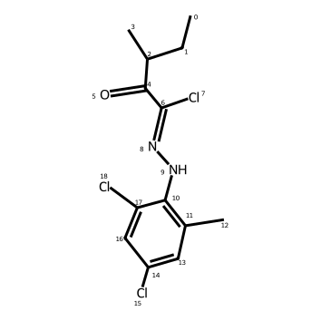 CCC(C)C(=O)C(Cl)=NNc1c(C)cc(Cl)cc1Cl